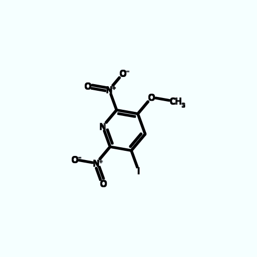 COc1cc(I)c([N+](=O)[O-])nc1[N+](=O)[O-]